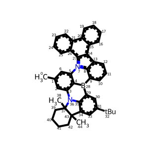 Cc1cc2c3c(c1)-n1c4c(cccc4c4c5ccccc5c5ccccc5c41)B3c1cc(C(C)(C)C)cc3c1N2C1(C)CCCCC31C